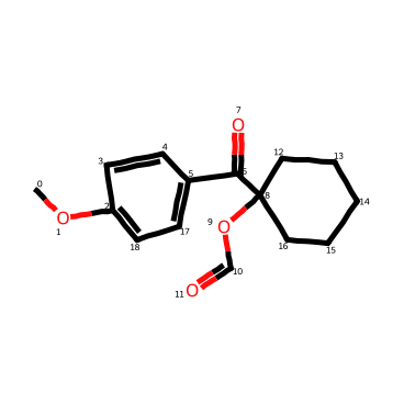 COc1ccc(C(=O)C2(OC=O)CCCCC2)cc1